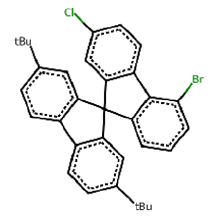 CC(C)(C)c1ccc2c(c1)C1(c3cc(C(C)(C)C)ccc3-2)c2cc(Cl)ccc2-c2c(Br)cccc21